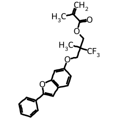 C=C(C)C(=O)OCC(C)(COc1ccc2cc(-c3ccccc3)oc2c1)C(F)(F)F